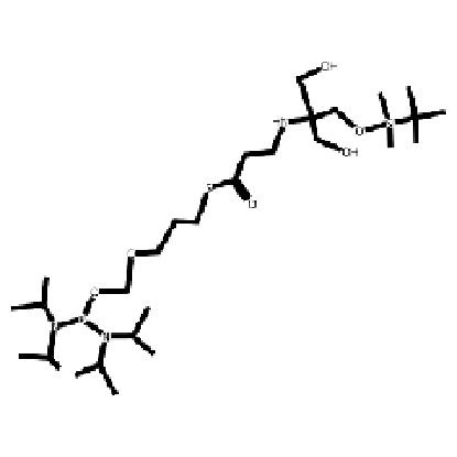 CC(C)N(C(C)C)P(OCOCCCSC(=O)CCNC(CO)(CO)CO[Si](C)(C)C(C)(C)C)N(C(C)C)C(C)C